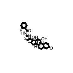 C[C@@H]1C[C@H]2[C@@H]3CCC4=CC(=O)C=C[C@]4(C)[C@@]3(F)[C@@H](O)C[C@]2(C)[C@@]1(O)c1csc(NC(=O)c2ccccc2F)n1